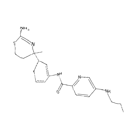 CCCNc1ccc(C(=O)NC2=CC(C3(C)CCSC(N)=N3)CC=C2)nc1